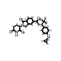 O=C1CCC(N2Cc3cc(C(=O)C[C@H](c4ccc(OC5CC5)cc4)C(F)(F)F)ccc3C2=O)C(=O)N1